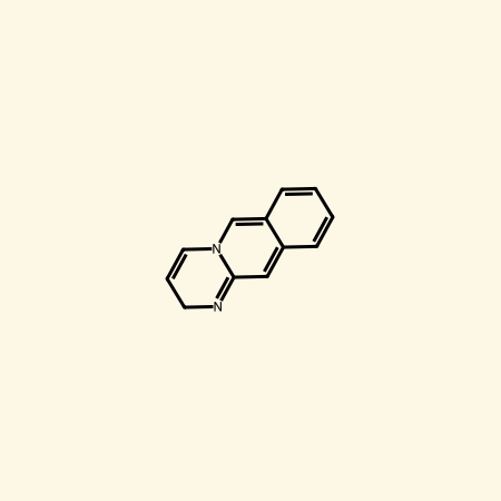 C1=CN2C=c3ccccc3=CC2=NC1